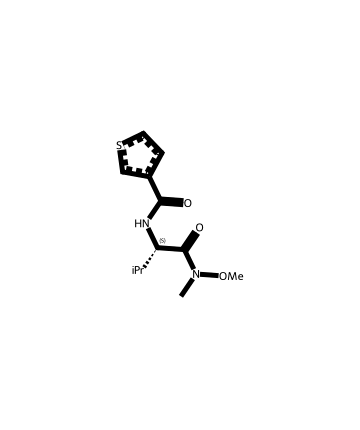 CON(C)C(=O)[C@@H](NC(=O)c1ccsc1)C(C)C